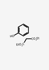 CCOC(=O)CC(=O)OCC.Oc1ccccc1